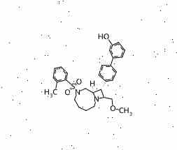 COCC1[C@@H](c2ccc(-c3cccc(O)c3)cc2)[C@@H]2CN(S(=O)(=O)c3ccccc3C)CCCCN12